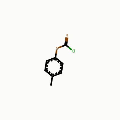 Cc1ccc(SC(=S)Cl)cc1